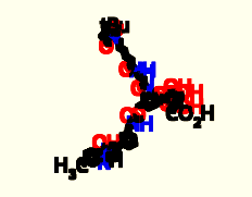 Cc1ccc2c(c1)N=C[C@@H]1CC(c3cccc(CNC(=O)OCc4ccc(O[C@@H]5OC(C(=O)O)[C@@H](O)[C@H](O)C5O)c(NC(=O)CCNC(=O)CCCCCN5C(=O)CC(C(C)(C)C)C5=O)c4)c3)=CN1C2O